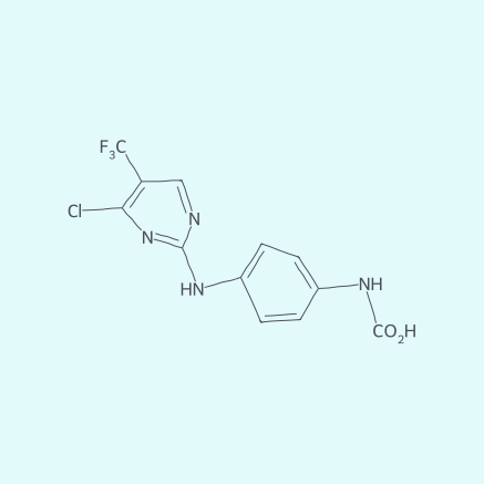 O=C(O)Nc1ccc(Nc2ncc(C(F)(F)F)c(Cl)n2)cc1